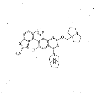 Cc1ccc2sc(N)nc2c1-c1c(Cl)cc2c(N3CC4CCC(C3)N4)nc(OCC34CCCN3CCC4)nc2c1F